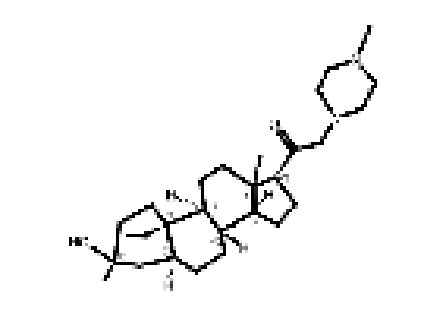 CC[C@]12CC[C@@](C)(O)C[C@@H]1CC[C@H]1[C@@H]3CC[C@H](C(=O)CN4CCN(C)CC4)[C@@]3(C)CC[C@@H]12